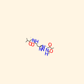 CCC(=O)[C@@H](Cn1cc(CCC(=O)N[C@@H](C)C(=O)C(C)C)nn1)NC(C)=O